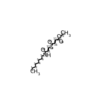 CCCCCCCCNC(=O)C=CSC(=O)C=CC(=O)OCC